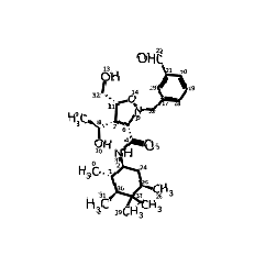 C[C@@H]1[C@@H](NC(=O)[C@@H]2[C@H]([C@H](C)O)[C@H](CO)ON2Cc2cccc(C=O)c2)C[C@@H](C)C(C)(C)[C@H]1C